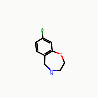 Brc1ccc2c(c1)OCCNC2